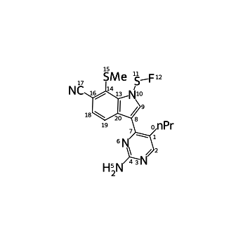 CCCc1cnc(N)nc1-c1cn(SF)c2c(SC)c(C#N)ccc12